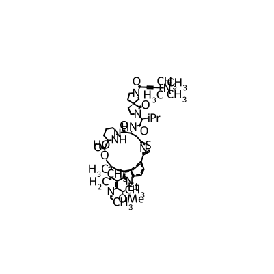 C=C/C(=C(\N=C/C)[C@H](C)OC)c1c2c3cc(ccc3n1CC)-c1csc(n1)C[C@H](NC(=O)[C@H](C(C)C)N1CC[C@]3(CCN(C(=O)C#CC(C)(C)N(C)C)C3)C1=O)C(=O)N1CCC[C@@](O)(N1)C(=O)OCC(C)(C)C2